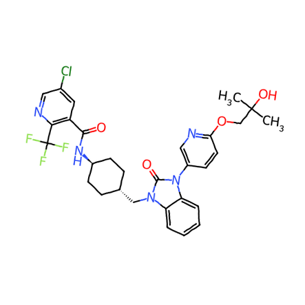 CC(C)(O)COc1ccc(-n2c(=O)n(C[C@H]3CC[C@H](NC(=O)c4cc(Cl)cnc4C(F)(F)F)CC3)c3ccccc32)cn1